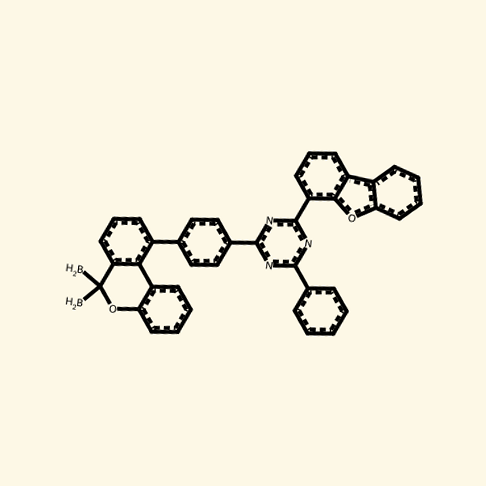 BC1(B)Oc2ccccc2-c2c(-c3ccc(-c4nc(-c5ccccc5)nc(-c5cccc6c5oc5ccccc56)n4)cc3)cccc21